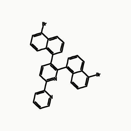 Brc1cccc2c(-c3ccc(-c4ccccn4)nc3-c3cccc4c(Br)cccc34)cccc12